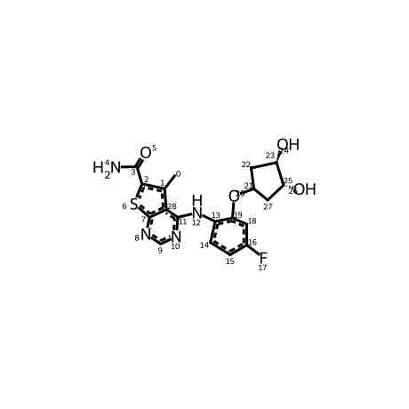 Cc1c(C(N)=O)sc2ncnc(Nc3ccc(F)cc3OC3C[C@@H](O)[C@H](O)C3)c12